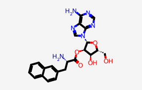 Nc1ncnc2c1ncn2[C@@H]1O[C@H](CO)[C@@H](O)[C@H]1OC(=O)[C@@H](N)Cc1ccc2ccccc2c1